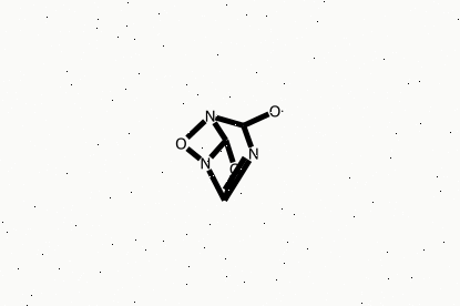 [O]C1N=C2OC3N2ON13